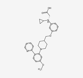 COc1ccc(-c2ccccn2)c(N2CCC(COc3cccc([Si@@H](CC(=O)O)C4CC4)c3)CC2)c1